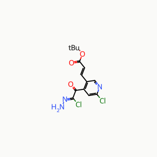 CC(C)(C)OC(=O)C=Cc1cnc(Cl)cc1C(=O)/C(Cl)=N/N